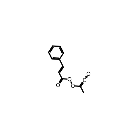 CC(=C=O)OOC(=O)C=Cc1ccccc1